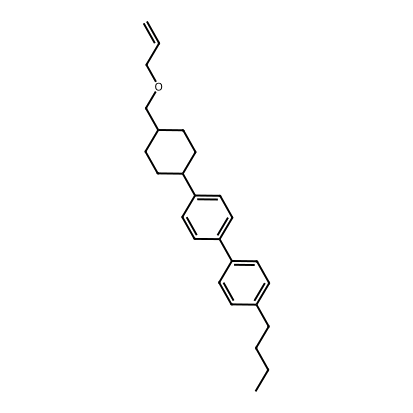 C=CCOCC1CCC(c2ccc(-c3ccc(CCCC)cc3)cc2)CC1